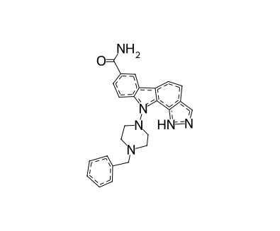 NC(=O)c1ccc2c(c1)c1ccc3cn[nH]c3c1n2N1CCN(Cc2ccccc2)CC1